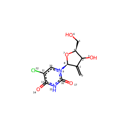 C=C1C(O)[C@H](CO)O[C@@H]1n1cc(Cl)c(=O)[nH]c1=O